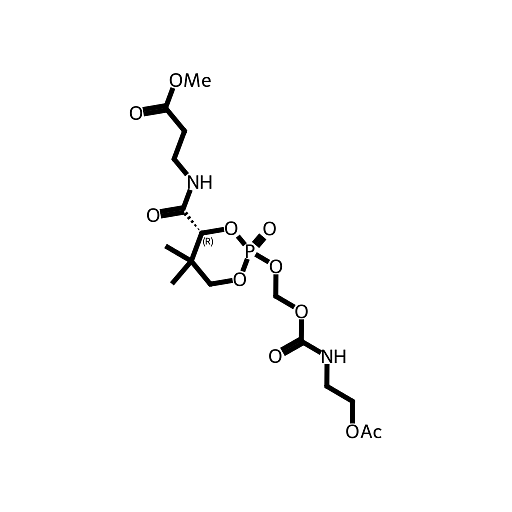 COC(=O)CCNC(=O)[C@@H]1OP(=O)(OCOC(=O)NCCOC(C)=O)OCC1(C)C